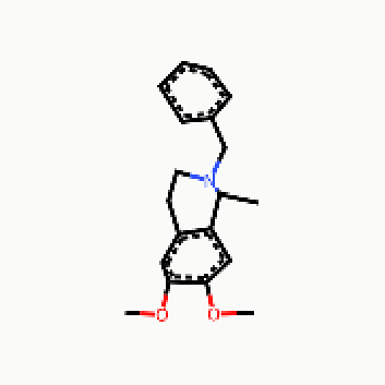 COc1cc2c(cc1OC)C(C)N(Cc1ccccc1)CC2